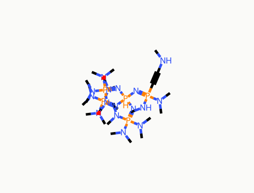 CNC#CP(=N[PH](N=P(N(C)C)(N(C)C)N(C)C)(N=P(N(C)C)(N(C)C)N(C)C)N=P(N(C)C)(N(C)C)N(C)C)(NC)N(C)C